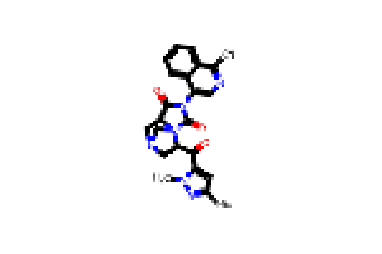 Cn1nc(C(C)(C)C)cc1C(=O)C1CN2CC3C(=O)N(c4cnc(C#N)c5ccccc45)C(=O)[N+]13C2